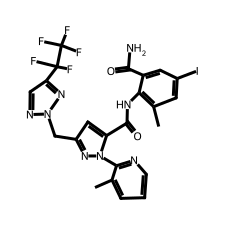 Cc1cccnc1-n1nc(Cn2ncc(C(F)(F)C(F)(F)F)n2)cc1C(=O)Nc1c(C)cc(I)cc1C(N)=O